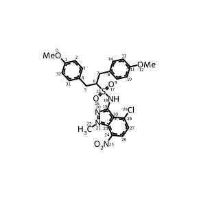 COc1ccc(CC(Cc2ccc(OC)cc2)S(=O)(=O)Nc2nn(C)c3c([N+](=O)[O-])ccc(Cl)c23)cc1